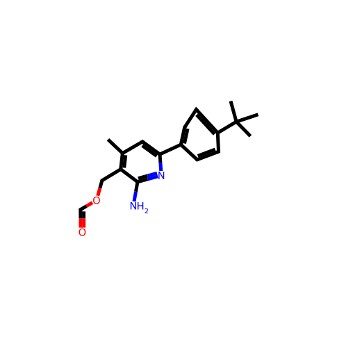 Cc1cc(-c2ccc(C(C)(C)C)cc2)nc(N)c1COC=O